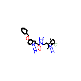 Cc1[nH]c2c(F)ccc(C)c2c1CCNC(=O)c1cc2cc(OCc3ccccc3)ccc2[nH]1